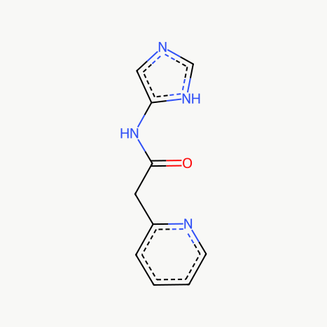 O=C(Cc1ccccn1)Nc1cnc[nH]1